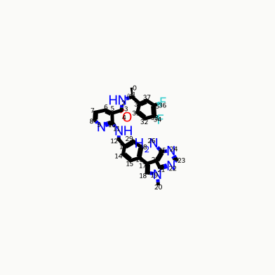 C[C@H](NC(=O)c1cccnc1NCc1ccc(-c2cn(C)c3ncnc(N)c23)cc1)c1ccc(F)c(F)c1